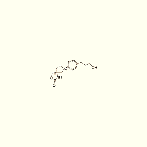 O=C1N[C@@]2(CC[C@@H](c3ccc(CCCO)cc3)C2)CO1